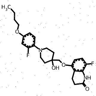 CCCCOc1ccc(N2CCC(O)(COc3ccc(F)c4c3CCC(=O)N4)CC2)c(F)c1